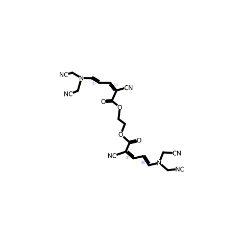 [C-]#[N+]CN(/C=C/C=C(/C#N)C(=O)OCCOC(=O)/C(C#N)=C\C=C\N(CC#N)CC#N)CC#N